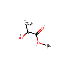 CCC(C)OC(=O)C(O)C(=O)O